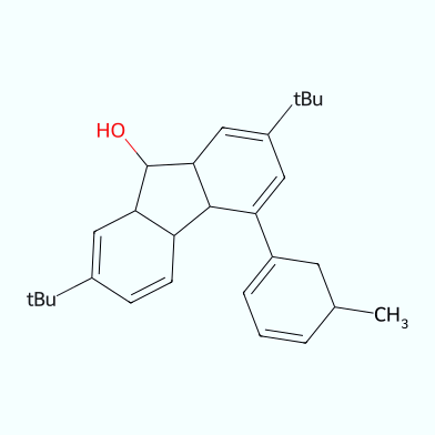 CC1C=CC=C(C2=CC(C(C)(C)C)=CC3C(O)C4C=C(C(C)(C)C)C=CC4C23)C1